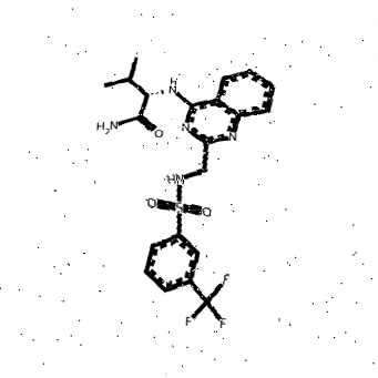 CC(C)[C@H](Nc1nc(CNS(=O)(=O)c2cccc(C(F)(F)F)c2)nc2ccccc12)C(N)=O